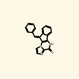 O=c1[nH]c2c3ccccc3/c(=C\c3ccccc3)c2n2ccnc12